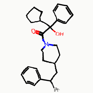 C[C](C)C(CC1CCN(C(=O)C(O)(c2ccccc2)C2CCCC2)CC1)c1ccccc1